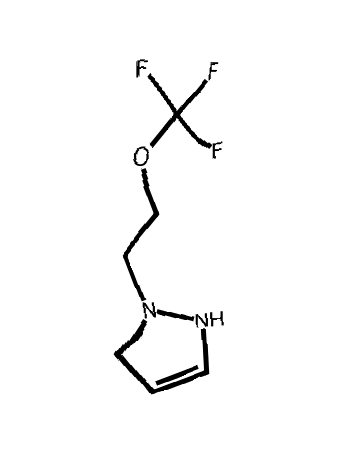 FC(F)(F)OCCN1CC=CN1